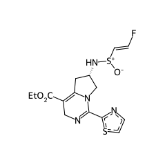 CCOC(=O)C1=C2C[C@H](N[S+]([O-])/C=C/F)CN2C(c2nccs2)=NC1